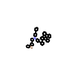 c1ccc(-c2ccc(N(c3ccc(-c4ccccc4-c4cccc5c4-c4ccccc4C54c5ccccc5-c5ccccc54)cc3)c3cccc(-c4ccc5sc6ccccc6c5c4)c3)cc2)cc1